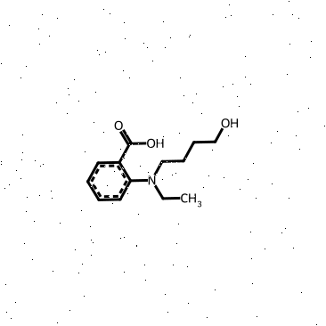 CCN(CCCCO)c1ccccc1C(=O)O